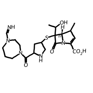 CC1C=C(C(=O)O)N2C(=O)C(SC3CNC(C(=O)N4CCCN(C=N)CC4)C3)(C(C)O)[C@H]12